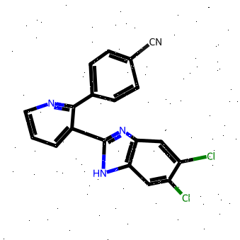 N#Cc1ccc(-c2ncccc2-c2nc3cc(Cl)c(Cl)cc3[nH]2)cc1